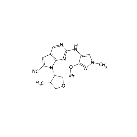 CC(C)Oc1nn(C)cc1Nc1ncc2cc(C#N)n([C@@H]3COC[C@@H]3C)c2n1